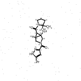 CC(C)c1cc(C(=O)N2C[C@@H]3C(C(=O)N4CCCC4(C)C)[C@@H]3C2)n[nH]1